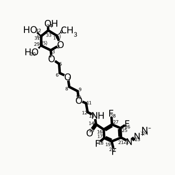 C[C@@H]1OC(OCCOCCOCCNC(=O)c2c(F)c(F)c(N=[N+]=[N-])c(F)c2F)[C@@H](O)[C@@H](O)C1O